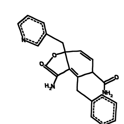 COC1(Cc2cccnc2)C=CC(C(N)=O)C(Cc2cccnc2)=C1C(N)=O